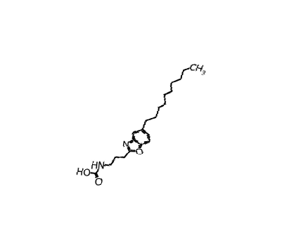 CCCCCCCCCCc1ccc2oc(CCCNC(=O)O)nc2c1